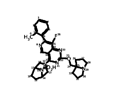 Cc1ccccc1-c1ncc2c(N3CC4CCC(C3)N4C(=O)O)nc(OCC34CCCN3CCC4)nc2c1F